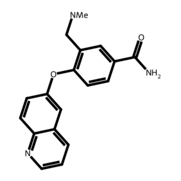 CNCc1cc(C(N)=O)ccc1Oc1ccc2ncccc2c1